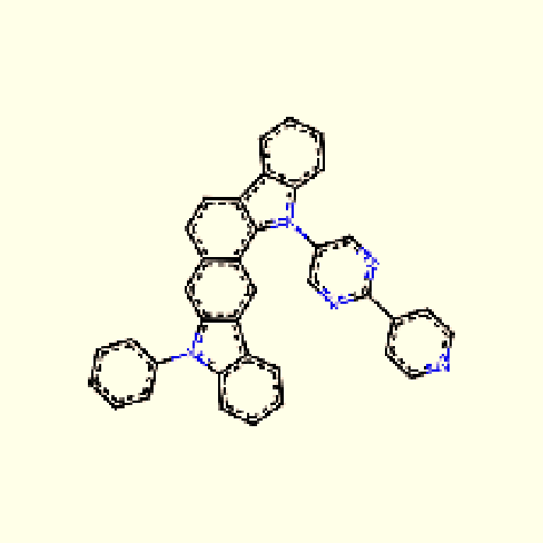 c1ccc(-n2c3ccccc3c3cc4c(ccc5c6ccccc6n(-c6cnc(-c7ccncc7)nc6)c45)cc32)cc1